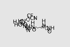 C[C@](O)(CNCn1cc(NC(=O)CCCC[C@@H]2NCC3NC(=O)CC32)cn1)C(=O)Nc1ccc(C#N)c(C(F)(F)F)c1